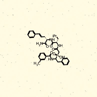 Cc1cccc(C(=O)NC(Cc2ccccc2)P(=O)(O)CC(=O)N[C@@H](CC(C)C)C(=O)N[C@@H](CC=Cc2ccccc2)C(N)=O)c1